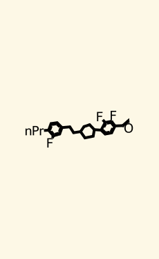 CCCc1ccc(CCC2CCC(c3ccc(C4CO4)c(F)c3F)CC2)cc1F